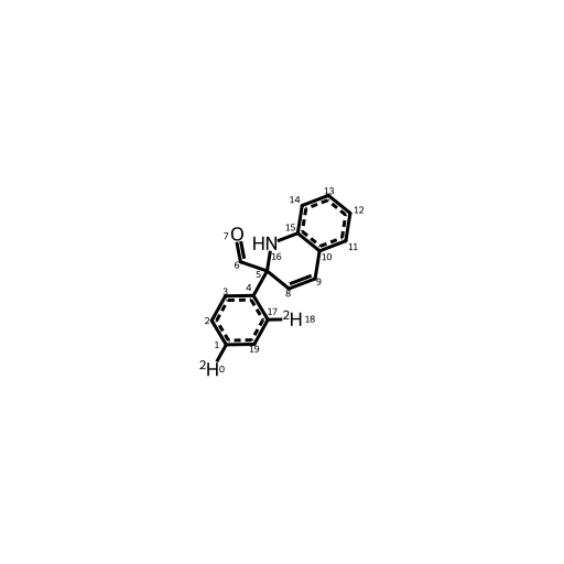 [2H]c1ccc(C2(C=O)C=Cc3ccccc3N2)c([2H])c1